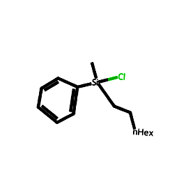 CCCCCCCC[Si](C)(Cl)c1ccccc1